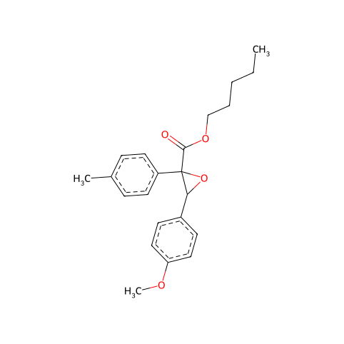 CCCCCOC(=O)C1(c2ccc(C)cc2)OC1c1ccc(OC)cc1